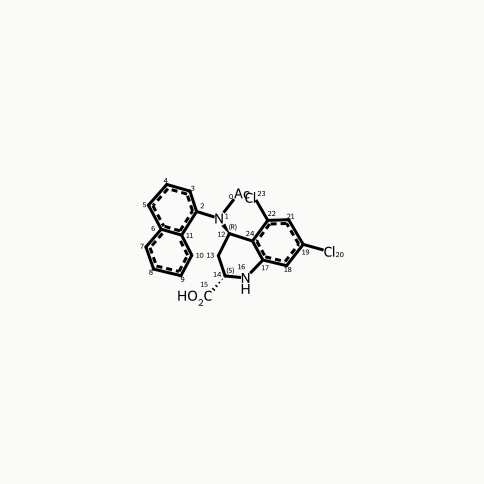 CC(=O)N(c1cccc2ccccc12)[C@@H]1C[C@@H](C(=O)O)Nc2cc(Cl)cc(Cl)c21